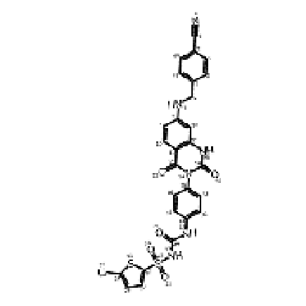 N#Cc1ccc(CNc2ccc3c(=O)n(-c4ccc(NC(=O)NS(=O)(=O)c5ccc(Cl)s5)cc4)c(=O)[nH]c3c2)cc1